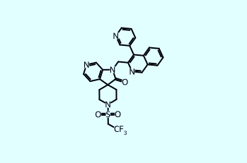 O=C1N(Cc2ncc3ccccc3c2-c2cccnc2)c2cnccc2C12CCN(S(=O)(=O)CC(F)(F)F)CC2